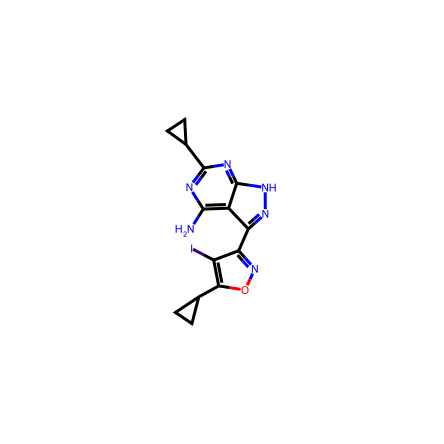 Nc1nc(C2CC2)nc2[nH]nc(-c3noc(C4CC4)c3I)c12